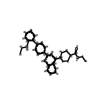 CCOC(=O)C1CCN(c2nc(-c3ccc(-c4ccccc4OCC)cc3)nc3ccccc23)CC1